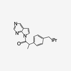 CC(C)Cc1ccc(C(C)C(=O)n2ccc3cncnc32)cc1